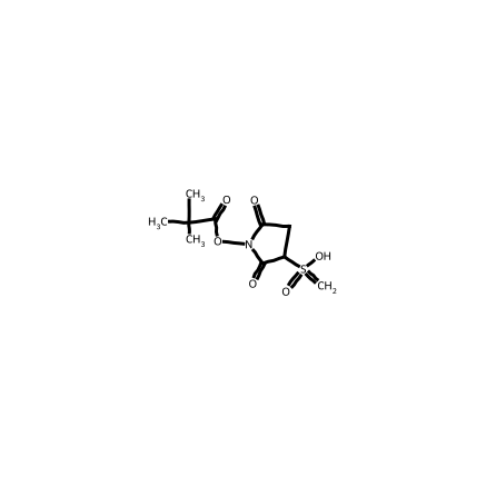 C=S(=O)(O)C1CC(=O)N(OC(=O)C(C)(C)C)C1=O